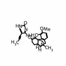 CC#Cc1c[nH]c(=O)nc1N.COc1ccc2c3c1O[C@H]1C(=O)CC[C@H]4[C@@H](C2)N(C)CC[C@]314